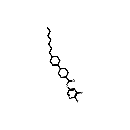 CCCCCCCC1CCC(C2CCC(C(=O)Oc3cnc(F)c(F)c3)CC2)CC1